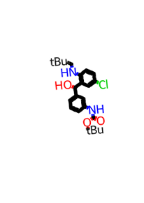 CC(C)(C)CNc1ccc(Cl)cc1C(O)c1cccc(NC(=O)OC(C)(C)C)c1